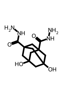 NNC(=O)C12CC3(O)CC(O)(C1)CC(C(=O)NN)(C3)C2